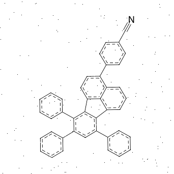 N#Cc1ccc(-c2ccc3c4c(cccc24)-c2c(-c4ccccc4)cc(-c4ccccc4)c(-c4ccccc4)c2-3)cc1